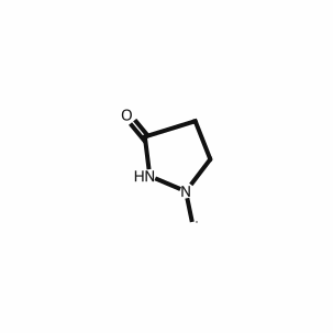 [CH2]N1CCC(=O)N1